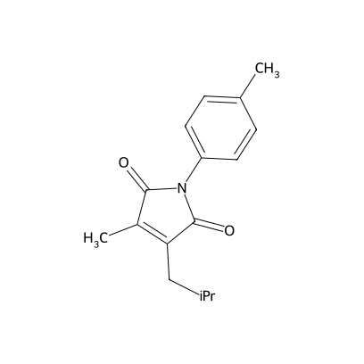 CC1=C(CC(C)C)C(=O)N(c2ccc(C)cc2)C1=O